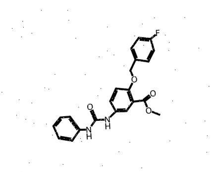 COC(=O)c1cc(NC(=O)Nc2ccccc2)ccc1OCc1ccc(F)cc1